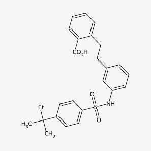 CCC(C)(C)c1ccc(S(=O)(=O)Nc2cccc(CCc3ccccc3C(=O)O)c2)cc1